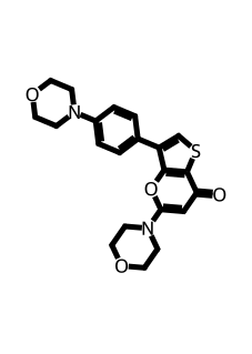 O=c1cc(N2CCOCC2)oc2c(-c3ccc(N4CCOCC4)cc3)csc12